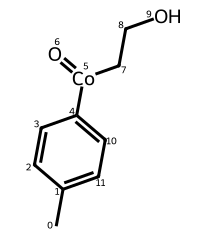 Cc1cc[c]([Co](=[O])[CH2]CO)cc1